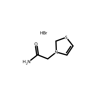 Br.NC(=O)CN1C=CSC1